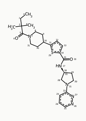 CCC(C)(C)C(=O)N1CCC(c2ccc(C(=O)N[C@H]3CCN(c4cccnn4)C3)s2)CC1